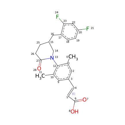 Cc1cc(/C=C/C(=O)O)cc(C)c1N1CC(Cc2ccc(F)cc2F)CCC1=O